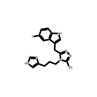 Fc1ccc2[nH]cc(Cc3nnc(S)n3CCCc3c[nH]cn3)c2c1